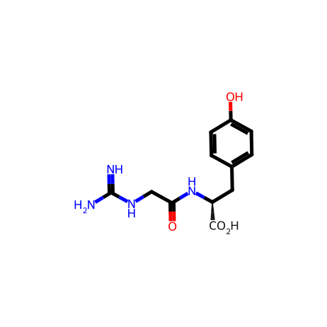 N=C(N)NCC(=O)N[C@@H](Cc1ccc(O)cc1)C(=O)O